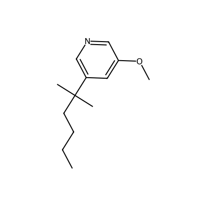 CCCCC(C)(C)c1cncc(OC)c1